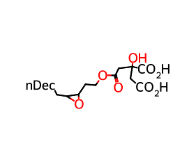 CCCCCCCCCCCC1OC1CCOC(=O)CC(O)(CC(=O)O)C(=O)O